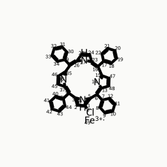 Clc1cc2[nH]c1c(-c1ccccc1)c1nc(c(-c3ccccc3)c3ccc([nH]3)c(-c3ccccc3)c3nc(c2-c2ccccc2)C=C3)C=C1.[Fe+3]